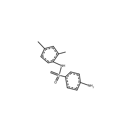 C=S(=O)(Nc1ccc(C)cc1C)c1ccc(N)cc1